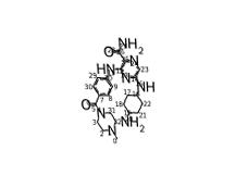 CN1CCN(C(=O)c2ccc(Nc3nc(NC4CCC(N)CC4)cnc3C(N)=O)cc2)CC1